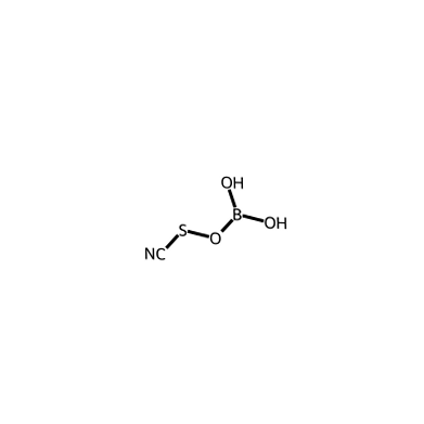 N#CSOB(O)O